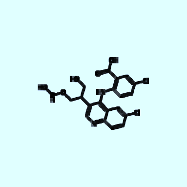 O=C(O)c1cc(Cl)ccc1Nc1c(C(CO)COBO)cnc2ccc(Cl)cc12